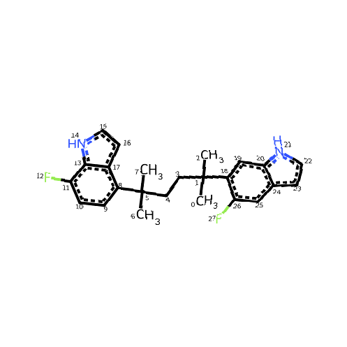 CC(C)(CCC(C)(C)c1ccc(F)c2[nH]ccc12)c1cc2[nH]ccc2cc1F